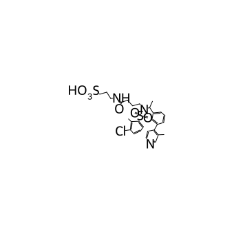 Cc1cnccc1-c1cccc(C(C)N(CCCC(=O)NCCCS(=O)(=O)O)S(=O)(=O)c2cccc(Cl)c2C)c1